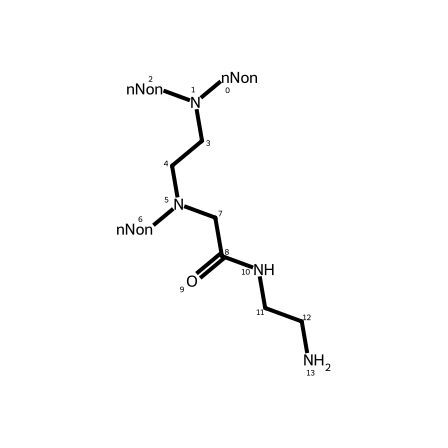 CCCCCCCCCN(CCCCCCCCC)CCN(CCCCCCCCC)CC(=O)NCCN